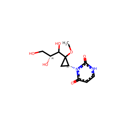 COC1(C(O)[C@H](O)CO)C[C@H]1n1c(=O)cc[nH]c1=O